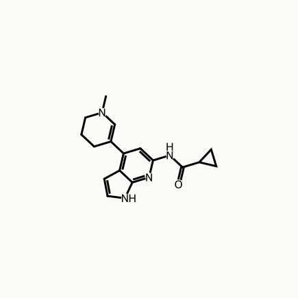 CN1C=C(c2cc(NC(=O)C3CC3)nc3[nH]ccc23)CCC1